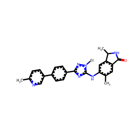 CCn1nc(-c2ccc(-c3ccc(C)nc3)cc2)nc1Nc1cc2c(cc1C)C(=O)NC2C